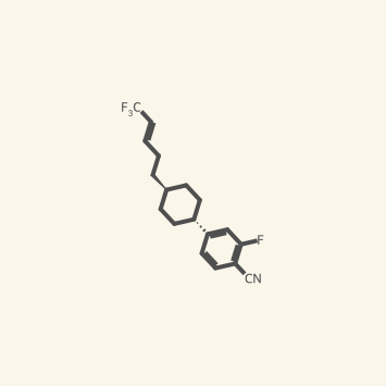 N#Cc1ccc([C@H]2CC[C@H](CCC=CC(F)(F)F)CC2)cc1F